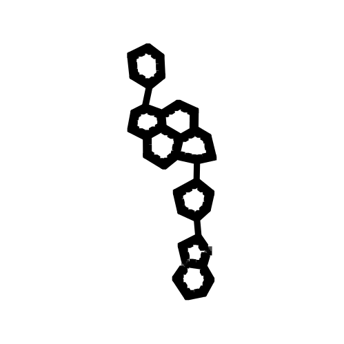 c1ccc(-c2ccc3ccc4c(-c5ccc(-c6cn7ccccc7n6)cc5)ccc5ccc2c3c54)cc1